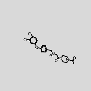 CC(=O)N1CCN(C(=O)C[S+]([O-])Cc2ccc(Oc3ccc(Cl)c(Cl)c3)cc2)CC1